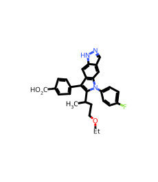 CCOCCC(C)c1c(-c2ccc(C(=O)O)cc2)c2cc3[nH]ncc3cc2n1-c1ccc(F)cc1